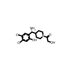 N[C@@H](c1cc(Cl)c(Cl)cc1O)C1CCN(C(=O)CO)CC1